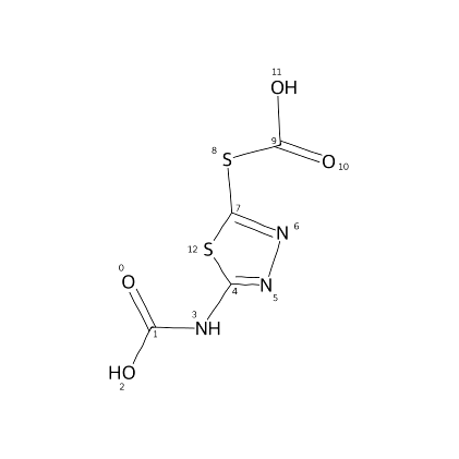 O=C(O)Nc1nnc(SC(=O)O)s1